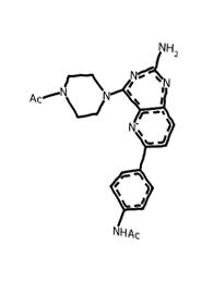 CC(=O)Nc1ccc(-c2ccc3nc(N)nc(N4CCN(C(C)=O)CC4)c3n2)cc1